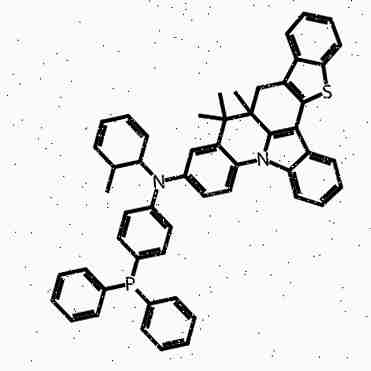 CC1C=CC=CC1N(c1ccc(P(c2ccccc2)c2ccccc2)cc1)c1ccc2c(c1)C(C)(C)C1(C)Cc3c(sc4ccccc34)-c3c1n-2c1ccccc31